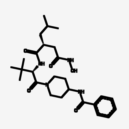 CC(C)C[C@H](CC(=O)NO)C(=O)N[C@H](C(=O)N1CCC(NC(=O)c2ccccc2)CC1)C(C)(C)C